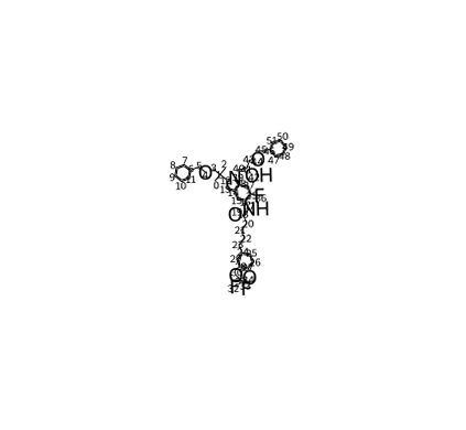 CC(C)(COCc1ccccc1)c1cc2cc(NC(=O)CCCCc3ccc4c(c3)OC(F)(F)O4)c(F)cc2n1C[C@@H](O)COCc1ccccc1